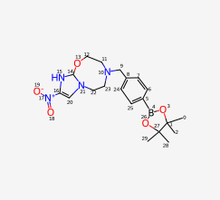 CC1(C)OB(c2ccc(CN3CCOC4NC([N+](=O)[O-])=CN4CC3)cc2)OC1(C)C